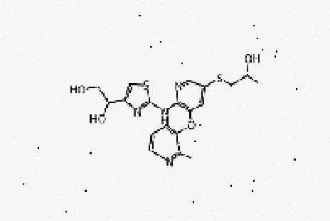 Cc1ncccc1Oc1cc(SCC(C)O)cnc1Nc1nc(C(O)CO)cs1